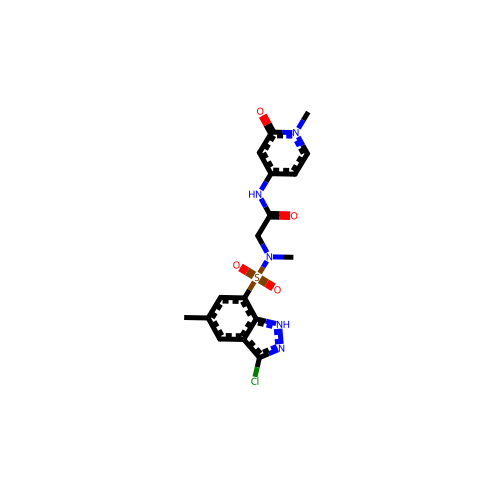 Cc1cc(S(=O)(=O)N(C)CC(=O)Nc2ccn(C)c(=O)c2)c2[nH]nc(Cl)c2c1